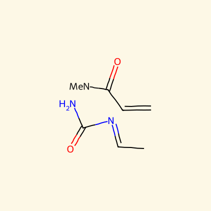 C=CC(=O)NC.CC=NC(N)=O